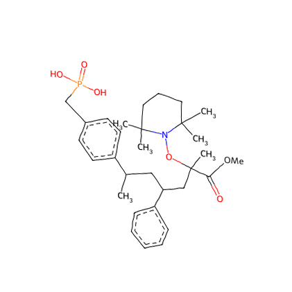 COC(=O)C(C)(CC(CC(C)c1ccc(CP(=O)(O)O)cc1)c1ccccc1)ON1C(C)(C)CCCC1(C)C